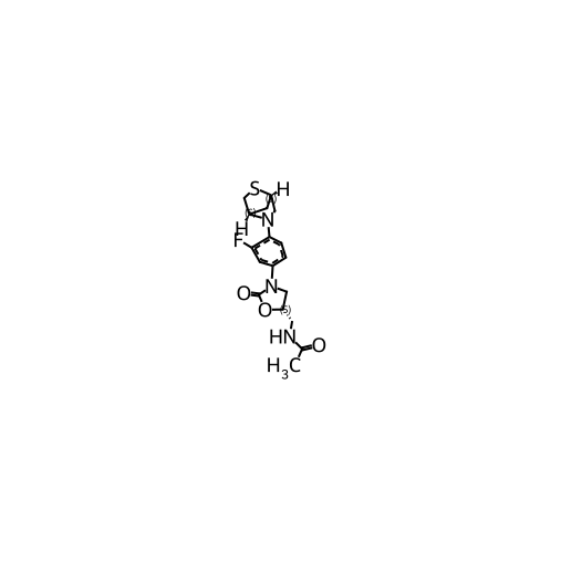 CC(=O)NC[C@H]1CN(c2ccc(N3C[C@@H]4C[C@H]3CS4)c(F)c2)C(=O)O1